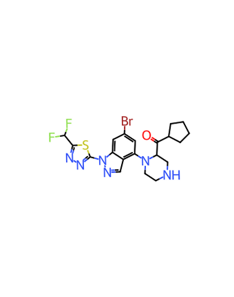 O=C(C1CCCC1)C1CNCCN1c1cc(Br)cc2c1cnn2-c1nnc(C(F)F)s1